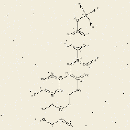 O=C1COCCN1CCOc1cc(=O)n(-c2ccc(OC(F)(F)F)cc2)cc1-c1ccc(F)cc1